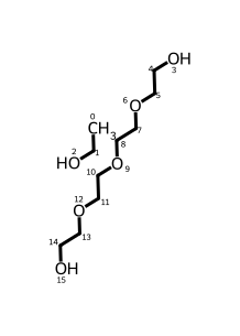 CCO.OCCOCCOCCOCCO